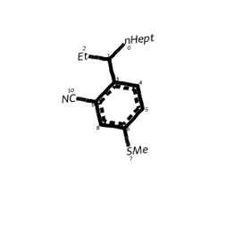 CCCCCCCC(CC)c1ccc(SC)cc1C#N